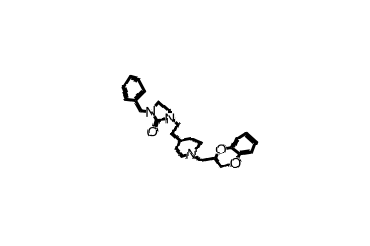 O=C1N(CCC2CCN(CC3COc4ccccc4O3)CC2)CCN1Cc1ccccc1